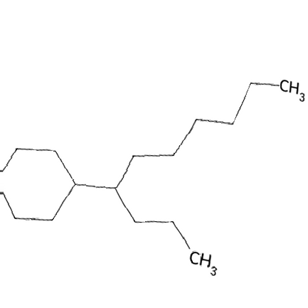 CCCCCCC(CCC)C1CCCCC1